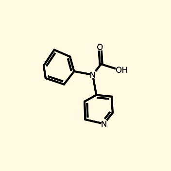 O=C(O)N(c1ccccc1)c1ccncc1